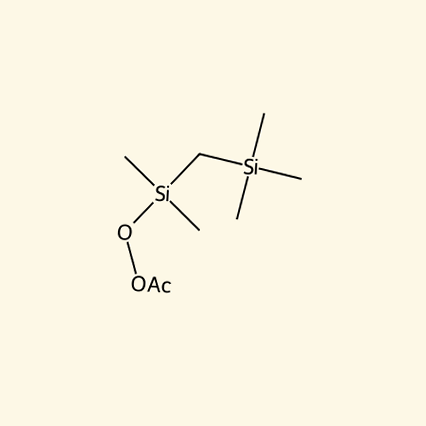 CC(=O)OO[Si](C)(C)C[Si](C)(C)C